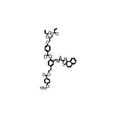 C=CC(=O)OCC(COc1ccc(C(=O)Oc2ccc(CCOC(=O)c3ccc(OC(C)(C)C)cc3)cc2/C=N/N(C)c2nc3c(ccc4ccccc43)s2)cc1)OC(=O)C=C